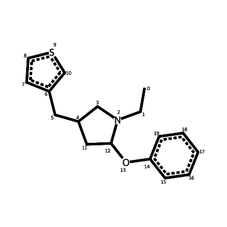 CCN1CC(Cc2ccsc2)CC1Oc1ccccc1